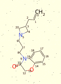 C=CCC1CN(CCCN2C(=O)COc3ccccc32)C1